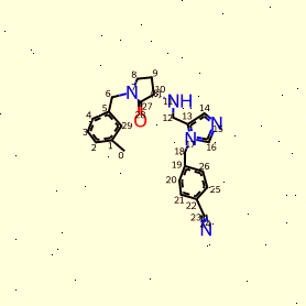 Cc1cccc(CN2CC[C@H](NCc3cncn3Cc3ccc(C#N)cc3)C2=O)c1